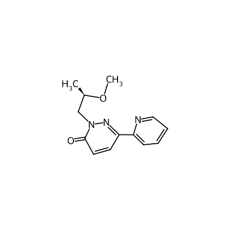 CO[C@H](C)Cn1nc(-c2ccccn2)ccc1=O